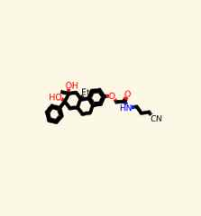 CCC12CC(C)(O)C(O)(c3ccccc3)CC1CCc1cc(OCC(=O)NCCCC#N)ccc12